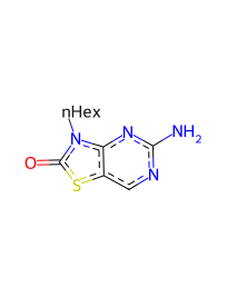 CCCCCCn1c(=O)sc2cnc(N)nc21